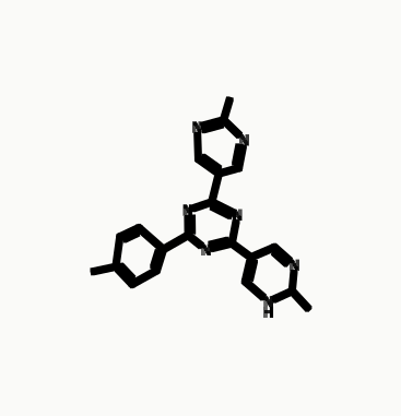 Cc1ccc(-c2nc(C3=CNC(C)N=C3)nc(-c3cnc(C)nc3)n2)cc1